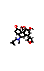 CC[C@@]12CC(=O)CCC1C(N(C)CC1CC1)Cc1c(-c3ccoc3)cc(OC)c(O)c12